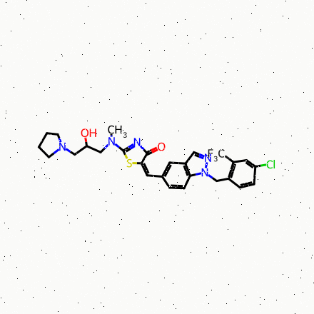 CN(CC(O)CN1CCCC1)C1=NC(=O)C(=Cc2ccc3c(cnn3Cc3ccc(Cl)cc3C(F)(F)F)c2)S1